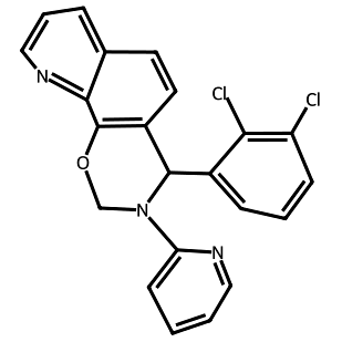 Clc1cccc(C2c3ccc4cccnc4c3OCN2c2ccccn2)c1Cl